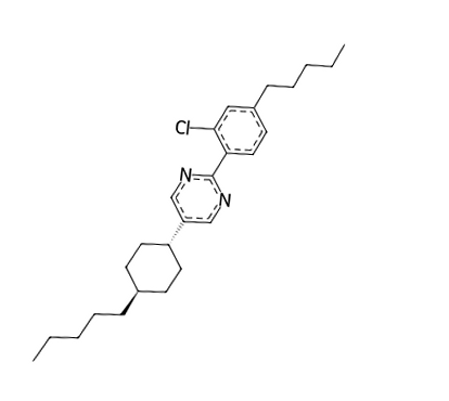 CCCCCc1ccc(-c2ncc([C@H]3CC[C@H](CCCCC)CC3)cn2)c(Cl)c1